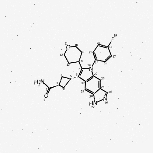 NC(=O)[C@H]1C[C@H](c2c(C3CCOCC3)n(-c3ccc(F)cc3)c3cc4cn[nH]c4cc32)C1